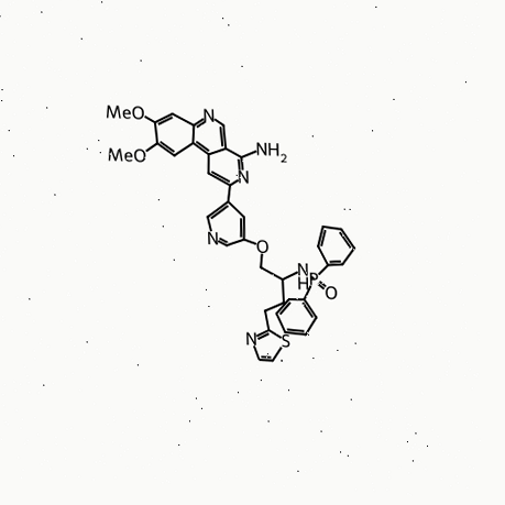 COc1cc2ncc3c(N)nc(-c4cncc(OCC(CCc5nccs5)NP(=O)(c5ccccc5)c5ccccc5)c4)cc3c2cc1OC